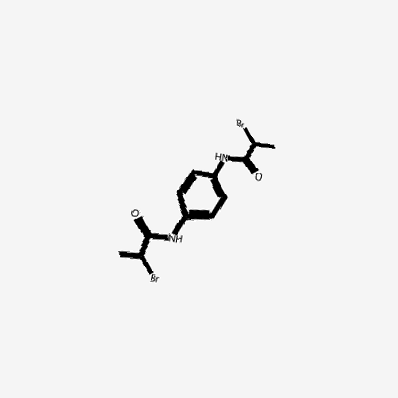 CC(Br)C(=O)Nc1ccc(NC(=O)C(C)Br)cc1